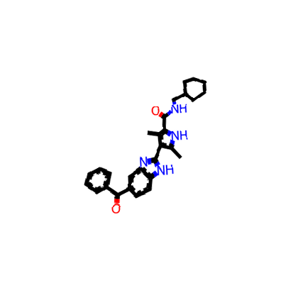 Cc1[nH]c(C(=O)NCC2CCCCC2)c(C)c1-c1nc2cc(C(=O)c3ccccc3)ccc2[nH]1